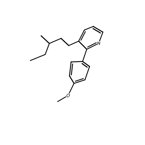 CCC(C)CCc1cccnc1-c1ccc(OC)cc1